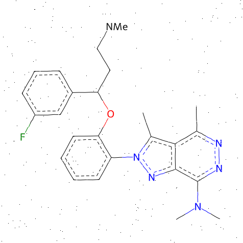 CNCCC(Oc1ccccc1-n1nc2c(N(C)C)nnc(C)c2c1C)c1cccc(F)c1